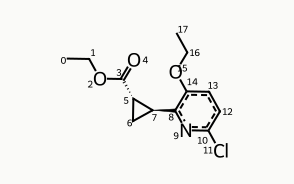 CCOC(=O)[C@H]1C[C@@H]1c1nc(Cl)ccc1OCC